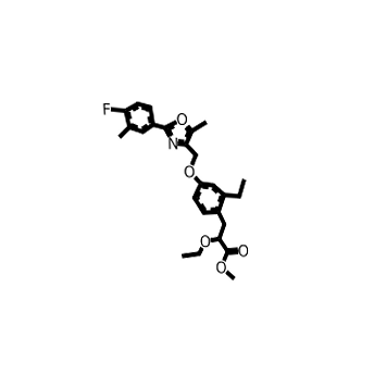 CCOC(Cc1ccc(OCc2nc(-c3ccc(F)c(C)c3)oc2C)cc1CC)C(=O)OC